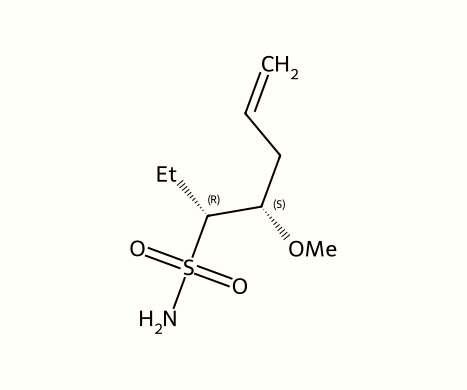 C=CC[C@H](OC)[C@@H](CC)S(N)(=O)=O